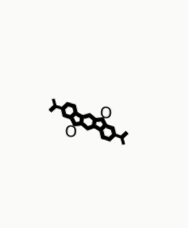 C=C(C)c1ccc2c(c1)c(=O)c1cc3c(cc12)c(=O)c1cc(C(=C)C)ccc13